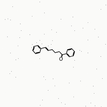 O=C(CCCC=Cc1ccccc1)c1ccccc1